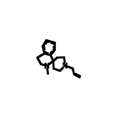 C=CCN1CCC2(CC1)c1ccccc1CCN2C